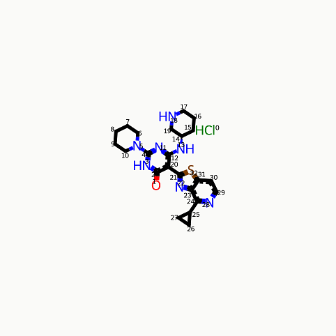 Cl.O=c1[nH]c(N2CCCCC2)nc(N[C@@H]2CCCNC2)c1-c1nc2c(C3CC3)nccc2s1